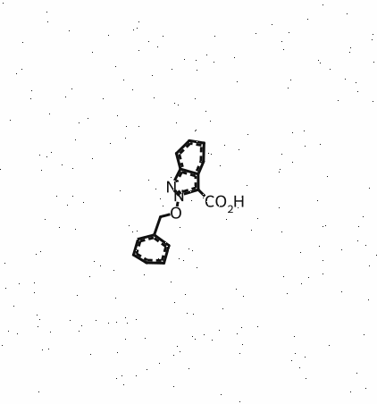 O=C(O)c1c2ccccc2nn1OCc1ccccc1